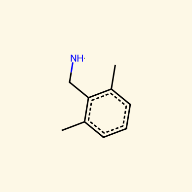 Cc1cccc(C)c1C[NH]